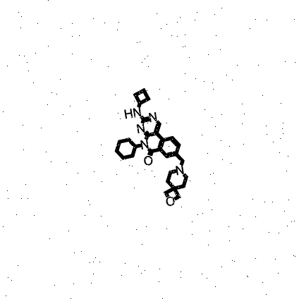 O=c1c2cc(CN3CCC4(CC3)COC4)ccc2c2cnc(NC3CCC3)nc2n1C1CCCCC1